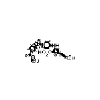 CC(C)(C)C#Cc1cc(NC2CCN(C(=O)OC3(C)CCN(C(=O)OC(C)(C)C)C3)CC2)c(C(=O)O)s1